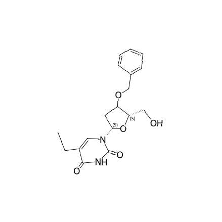 CCc1cn([C@@H]2CC(OCc3ccccc3)[C@H](CO)O2)c(=O)[nH]c1=O